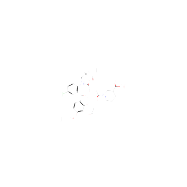 COc1ccc([C@@H]2O[C@@H](CC(=O)N3CCCC(C(=O)O)C3)C(=O)N(CC(C)(C)C)c3ccc(Cl)cc32)c2c1OCCO2